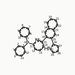 c1ccc(P(c2ccccc2)c2cccc(-c3cc4ccccc4cc3-c3ccc[nH]3)n2)cc1